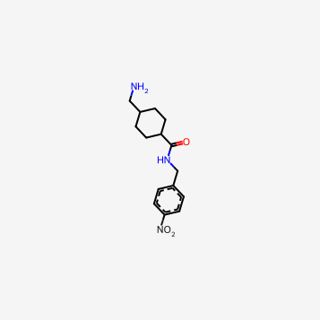 NCC1CCC(C(=O)NCc2ccc([N+](=O)[O-])cc2)CC1